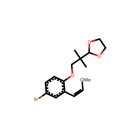 CO/C=C\c1cc(Br)ccc1OCC(C)(C)C1OCCO1